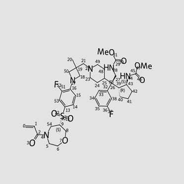 C=CC(=O)N1CCOC[C@@H](S(=O)(=O)c2ccc(N3CC(C)(CN4CCC([C@@](CNC(=O)OC)(c5cccc(F)c5)[C@H]5CCC[C@@H]5NC(=O)OC)CC4)C3)c(F)c2)C1